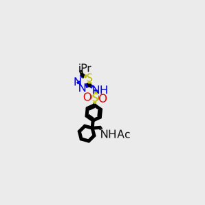 CC(=O)NCC1(c2ccc(S(=O)(=O)Nc3nnc(C(C)C)s3)cc2)CCCCC1